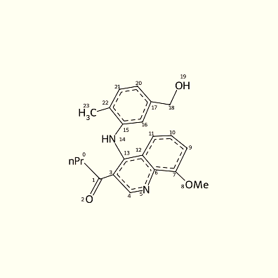 CCCC(=O)c1cnc2c(OC)cccc2c1Nc1cc(CO)ccc1C